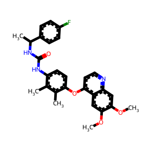 COc1cc2nccc(Oc3ccc(NC(=O)NC(C)c4ccc(F)cc4)c(C)c3C)c2cc1OC